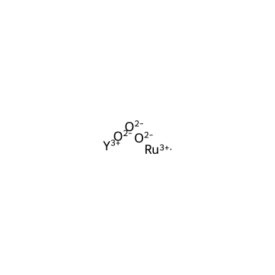 [O-2].[O-2].[O-2].[Ru+3].[Y+3]